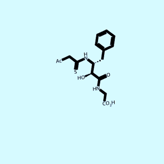 CC(=O)CC(=S)N[C@H](Cc1ccccc1)[C@H](O)C(=O)NCC(=O)O